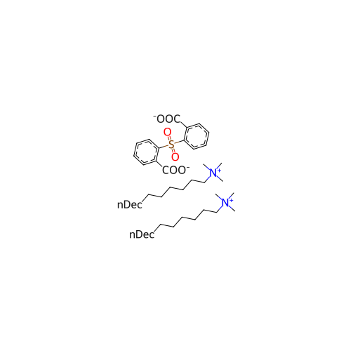 CCCCCCCCCCCCCCCC[N+](C)(C)C.CCCCCCCCCCCCCCCC[N+](C)(C)C.O=C([O-])c1ccccc1S(=O)(=O)c1ccccc1C(=O)[O-]